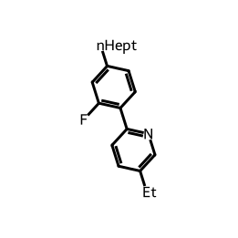 CCCCCCCc1ccc(-c2ccc(CC)cn2)c(F)c1